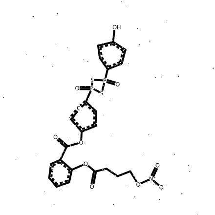 O=C(CCCO[N+](=O)[O-])Oc1ccccc1C(=O)Oc1ccc(P2(=O)SP(=O)(c3ccc(O)cc3)S2)cc1